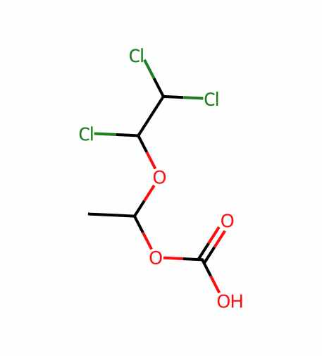 CC(OC(=O)O)OC(Cl)C(Cl)Cl